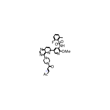 COc1ncc(-c2ccc3ncnc(N4CCN(C(=O)/C=C/C(C)=O)CC4)c3n2)cc1NS(=O)(=O)c1c(C)cccc1F